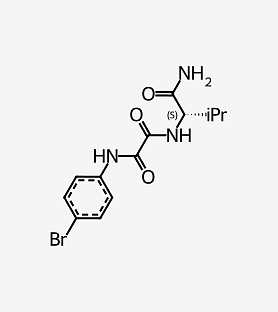 CC(C)[C@H](NC(=O)C(=O)Nc1ccc(Br)cc1)C(N)=O